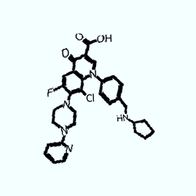 O=C(O)c1cn(-c2ccc(CNC3CCCC3)cc2)c2c(Cl)c(N3CCN(c4ccccn4)CC3)c(F)cc2c1=O